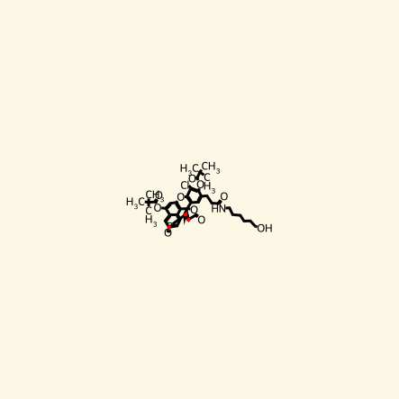 CC(C)(C)C(=O)Oc1c(CCC(=O)NCCCCCCO)cc2c(c1Cl)Oc1cc(OC(=O)C(C)(C)C)c3ccccc3c1C21OC(=O)c2ccc(P=O)cc21